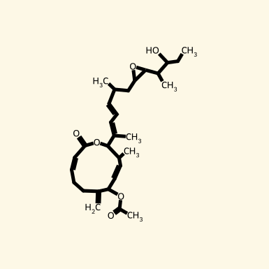 C=C1CC/C=C\C(=O)OC(/C(C)=C/C=C/C(C)CC2OC2C(C)C(O)CC)C(C)/C=C/C1OC(C)=O